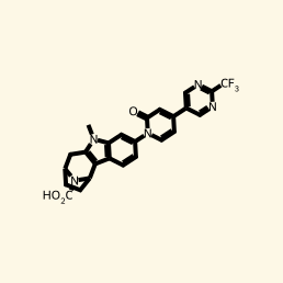 Cn1c2c(c3ccc(-n4ccc(-c5cnc(C(F)(F)F)nc5)cc4=O)cc31)C1CCC(C2)N1C(=O)O